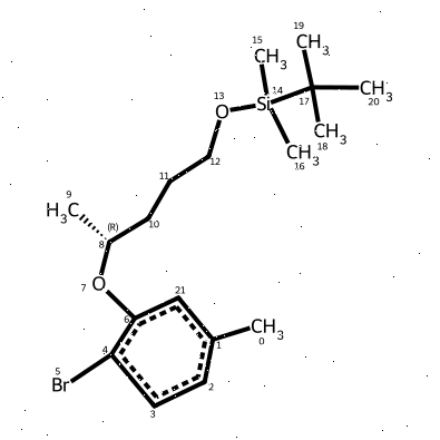 Cc1ccc(Br)c(O[C@H](C)CCCO[Si](C)(C)C(C)(C)C)c1